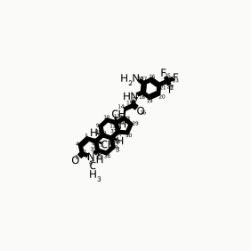 CN1C(=O)C=C[C@]2(C)[C@H]3CC[C@]4(C)[C@@H](CC(=O)Nc5ccc(C(F)(F)F)cc5N)CC[C@H]4[C@@H]3CC[C@@H]12